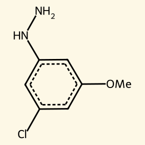 COc1cc(Cl)cc(NN)c1